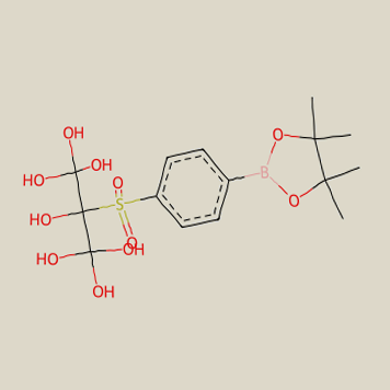 CC1(C)OB(c2ccc(S(=O)(=O)C(O)(C(O)(O)O)C(O)(O)O)cc2)OC1(C)C